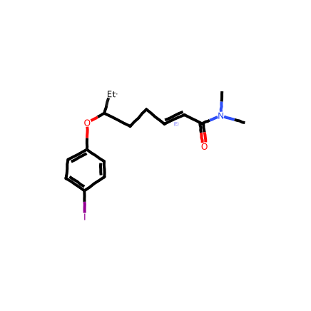 C[CH]C(CC/C=C/C(=O)N(C)C)Oc1ccc(I)cc1